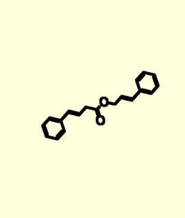 O=C(CC=Cc1ccccc1)OC/C=C/c1ccccc1